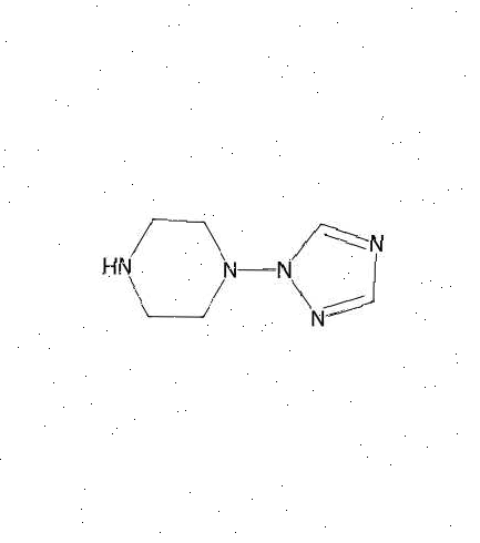 c1ncn(N2CCNCC2)n1